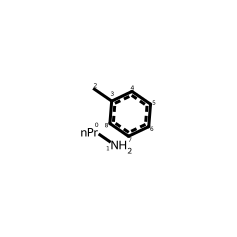 CCCN.Cc1ccccc1